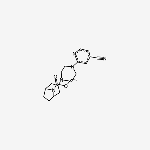 CCOC(=O)N1C2CCC1CC(N1CCN(c3cc(C#N)ccn3)CC1)C2